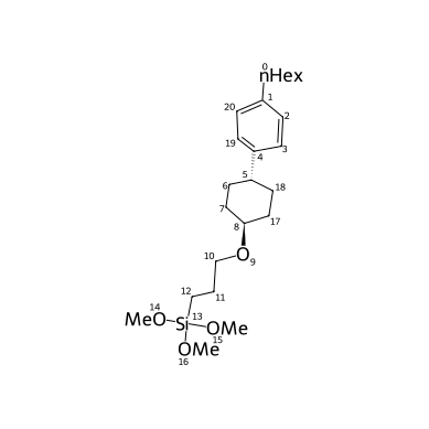 CCCCCCc1ccc([C@H]2CC[C@H](OCCC[Si](OC)(OC)OC)CC2)cc1